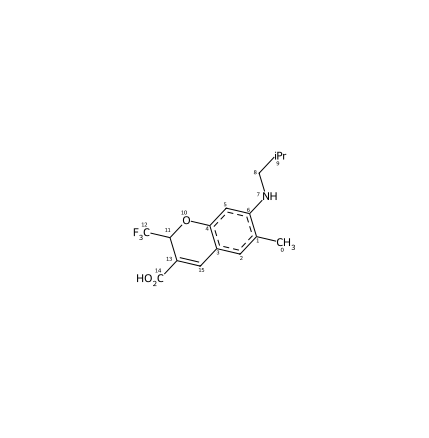 Cc1cc2c(cc1NCC(C)C)OC(C(F)(F)F)C(C(=O)O)=C2